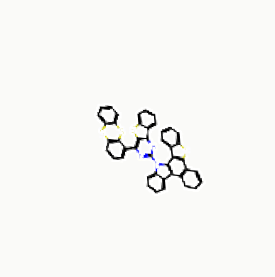 C1=Cc2c(c3c4ccccc4n(-c4nc(-c5cccc6c5Sc5ccccc5S6)c5sc6ccccc6c5n4)c3c3c2sc2ccccc23)CC1